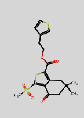 CC1(C)CC(=O)c2c(S(C)(=O)=O)sc(C(=O)OCCc3ccsc3)c2C1